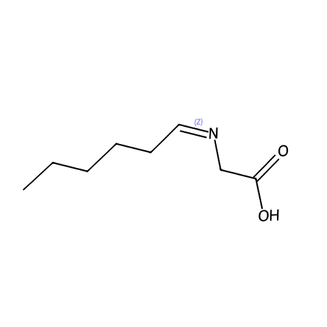 CCCCC/C=N\CC(=O)O